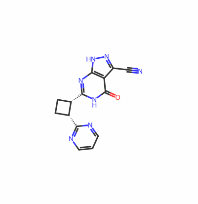 N#Cc1n[nH]c2nc([C@H]3CC[C@H]3c3ncccn3)[nH]c(=O)c12